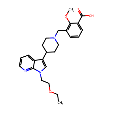 CCOCCn1cc(C2CCN(Cc3cccc(C(=O)O)c3OC)CC2)c2cccnc21